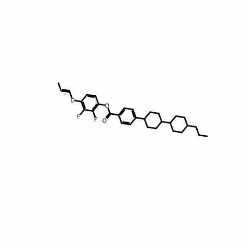 C/C=C/Oc1ccc(OC(=O)c2ccc(C3CCC(C4CCC(CCC)CC4)CC3)cc2)c(F)c1F